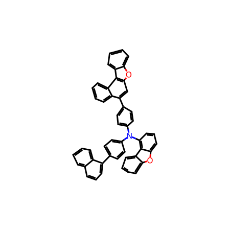 c1ccc2c(-c3ccc(N(c4ccc(-c5cc6oc7ccccc7c6c6ccccc56)cc4)c4cccc5oc6ccccc6c45)cc3)cccc2c1